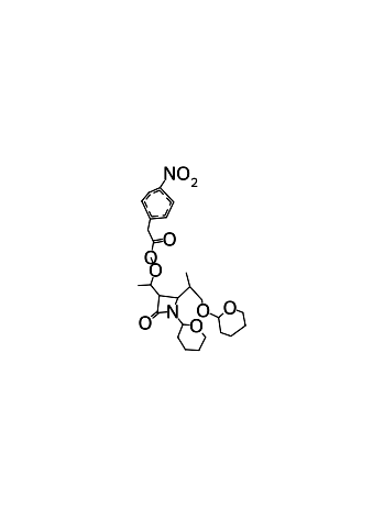 CC(COC1CCCCO1)C1C(C(C)OOC(=O)Cc2ccc([N+](=O)[O-])cc2)C(=O)N1C1CCCCO1